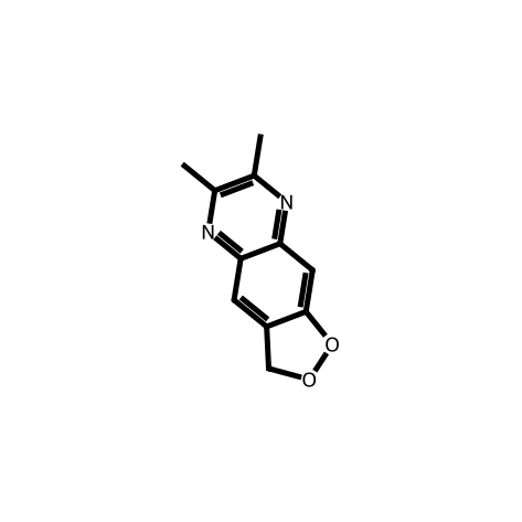 Cc1nc2cc3c(cc2nc1C)OOC3